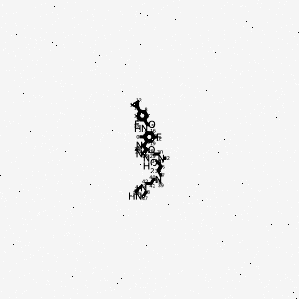 Cc1c(NC(=O)c2ccc(C3CC3)cc2F)cc(F)cc1-c1ncnc(N)c1OCCN(C)C(=O)/C=C/CN(C)CCCN1CCNCC1